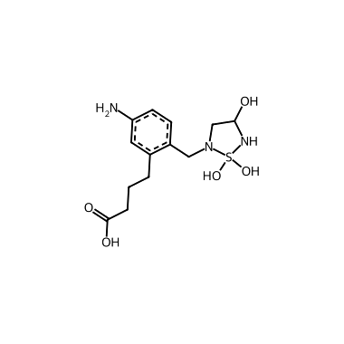 Nc1ccc(CN2CC(O)NS2(O)O)c(CCCC(=O)O)c1